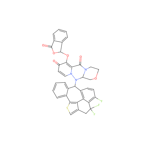 O=C1OC(Oc2c3n(ccc2=O)N(C2c4ccccc4-c4scc5c4-c4c2ccc(F)c4C(F)(F)C5)C2COCCN2C3=O)c2ccccc21